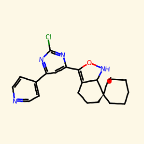 Clc1nc(C2=C3CCC[C@@]4(CCCCC45OCCO5)C3NO2)cc(-c2ccncc2)n1